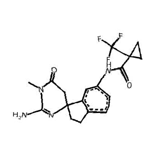 CN1C(=O)CC2(CCc3ccc(NC(=O)C4(C(F)(F)F)CC4)cc32)N=C1N